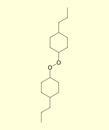 CCCC1CCC(OOC2CCC(CCC)CC2)CC1